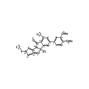 CCC1(OC)c2nc(-c3cnc(OC)c(OC)c3)cc(C)c2C(=O)N1c1cnn(CC(F)(F)F)c1